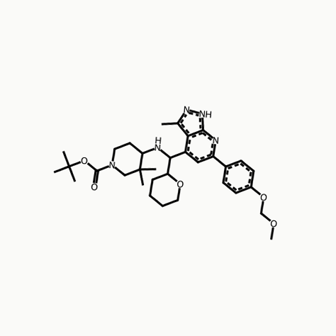 COCOc1ccc(-c2cc(C(NC3CCN(C(=O)OC(C)(C)C)CC3(C)C)C3CCCCO3)c3c(C)n[nH]c3n2)cc1